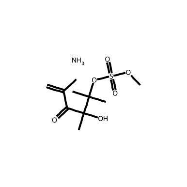 C=C(C)C(=O)C(C)(O)C(C)(C)OS(=O)(=O)OC.N